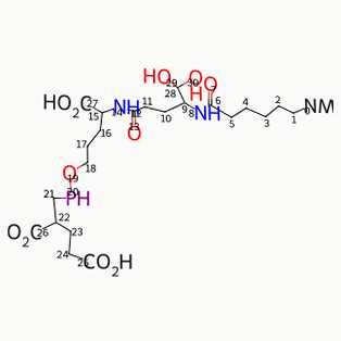 CNCCCCCC(=O)NC(CCC(=O)NC(CCCOPCC(CCC(=O)O)C(=O)O)C(=O)O)C(O)O